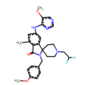 COc1ccc(CN2C(=O)c3c(C)cc(Nc4ncncc4OC)cc3C23CCN(CC(F)F)CC3)cc1